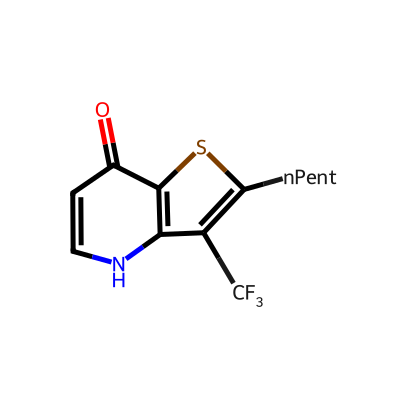 CCCCCc1sc2c(=O)cc[nH]c2c1C(F)(F)F